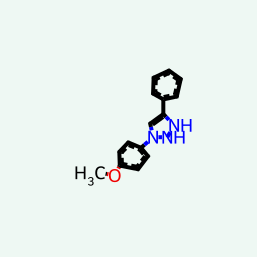 COc1ccc(N2C=C(c3ccccc3)NN2)cc1